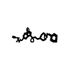 C#CCN(C)Cc1ccc2c(c1)c(C(=O)CCC1CCN(Cc3ccccc3)CC1)cn2C